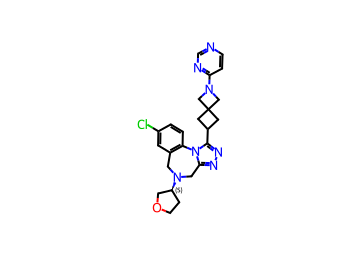 Clc1ccc2c(c1)CN([C@H]1CCOC1)Cc1nnc(C3CC4(C3)CN(c3ccncn3)C4)n1-2